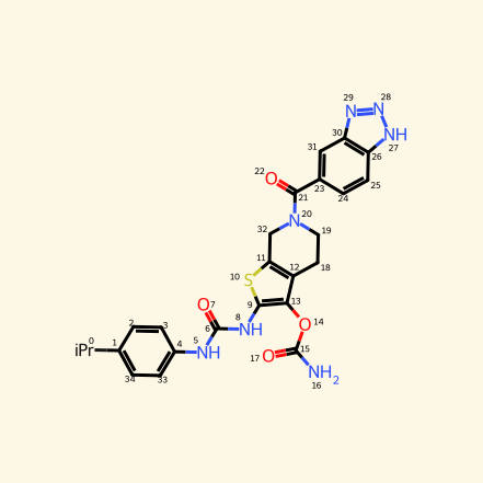 CC(C)c1ccc(NC(=O)Nc2sc3c(c2OC(N)=O)CCN(C(=O)c2ccc4[nH]nnc4c2)C3)cc1